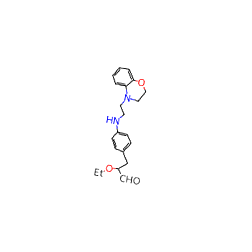 CCOC(C=O)Cc1ccc(NCCN2CCOc3ccccc32)cc1